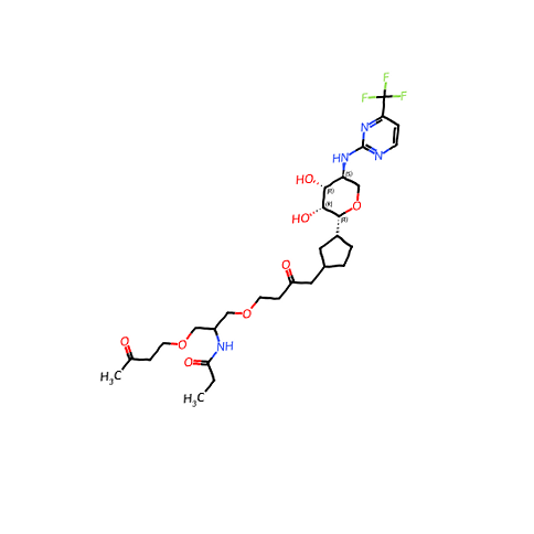 CCC(=O)NC(COCCC(C)=O)COCCC(=O)CC1CCC([C@H]2OC[C@H](Nc3nccc(C(F)(F)F)n3)[C@@H](O)[C@H]2O)C1